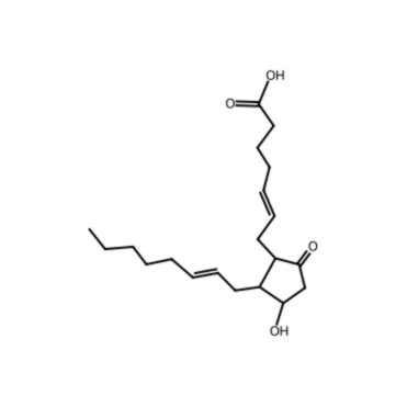 CCCCCC=CCC1C(O)CC(=O)C1CC=CCCCC(=O)O